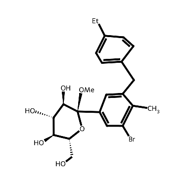 CCc1ccc(Cc2cc([C@]3(OC)O[C@H](CO)[C@@H](O)[C@H](O)[C@H]3O)cc(Br)c2C)cc1